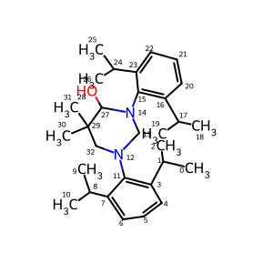 CC(C)c1cccc(C(C)C)c1N1CN(c2c(C(C)C)cccc2C(C)C)C(O)C(C)(C)C1